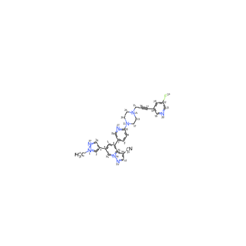 Cn1cc(-c2cc(-c3ccc(N4CCN(CC#Cc5cncc(F)c5)CC4)nc3)c3c(C#N)cnn3c2)cn1